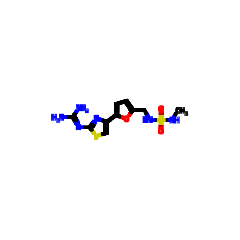 CNS(=O)(=O)NCc1ccc(-c2csc(N=C(N)N)n2)o1